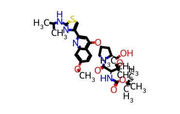 COc1ccc2c(O[C@@H]3C[C@@H](C(=O)O)N(C(=O)[C@@H](NC(=O)OC(C)(C)C)C(C)(C)C)C3)cc(-c3csc(NC(C)C)n3)nc2c1